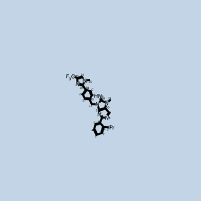 CC(C)c1ccccc1-c1ncc2c(n1)n(Cc1ccc(-c3nc(C(F)(F)F)cn3C)cc1)c(=N)n2C